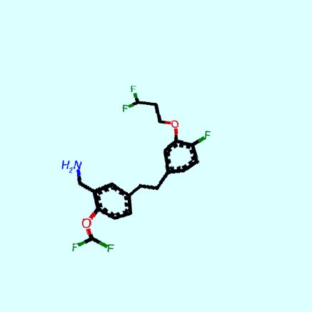 NCc1cc(CCc2ccc(F)c(OCCC(F)F)c2)ccc1OC(F)F